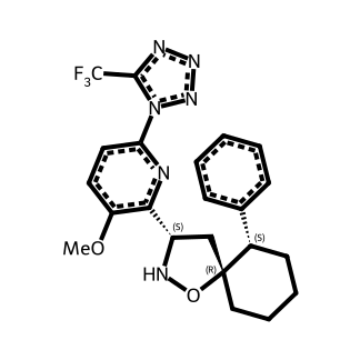 COc1ccc(-n2nnnc2C(F)(F)F)nc1[C@@H]1C[C@@]2(CCCC[C@H]2c2ccccc2)ON1